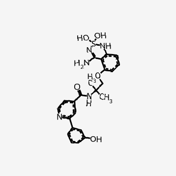 CC(C)(COc1cccc2c1C(N)=NS(O)(O)N2)NC(=O)c1ccnc(-c2cccc(O)c2)c1